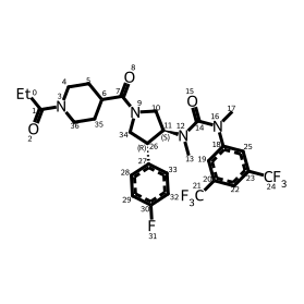 CCC(=O)N1CCC(C(=O)N2C[C@@H](N(C)C(=O)N(C)c3cc(C(F)(F)F)cc(C(F)(F)F)c3)[C@H](c3ccc(F)cc3)C2)CC1